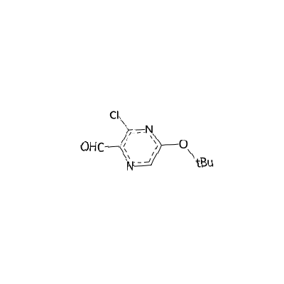 CC(C)(C)Oc1cnc(C=O)c(Cl)n1